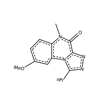 CCCc1nnc2c(=O)n(C)c3ccc(OC)cc3n12